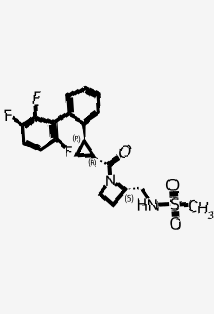 CS(=O)(=O)NC[C@@H]1CCN1C(=O)[C@@H]1C[C@H]1c1ccccc1-c1c(F)ccc(F)c1F